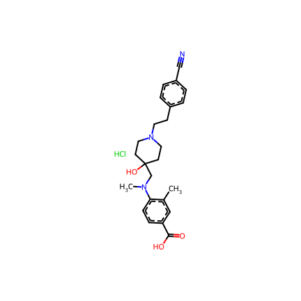 Cc1cc(C(=O)O)ccc1N(C)CC1(O)CCN(CCc2ccc(C#N)cc2)CC1.Cl